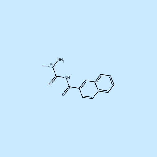 C[C@H](N)C(=O)NC(=O)c1ccc2ccccc2c1